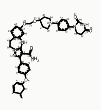 CC1C=CC=C(Oc2ccc(-c3nn4c(c3C(N)=O)Nc3cc(OCCC5CCN(c6ccc(N7CCC(=O)NC7=O)cc6)CC5)ccc3CC4)cc2)C1